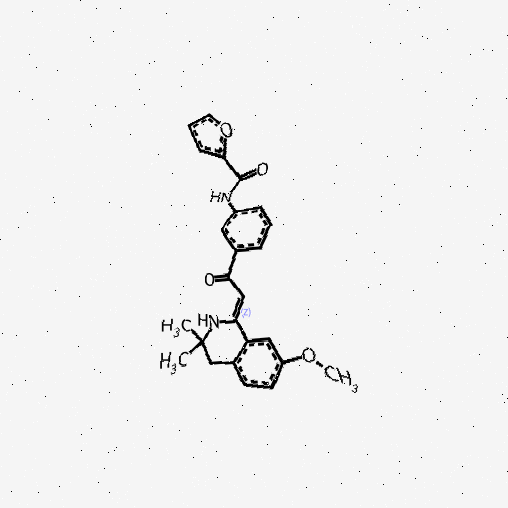 COc1ccc2c(c1)/C(=C/C(=O)c1cccc(NC(=O)c3ccco3)c1)NC(C)(C)C2